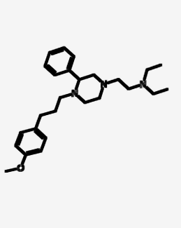 CCN(CC)CCN1CCN(CCCc2ccc(OC)cc2)C(c2ccccc2)C1